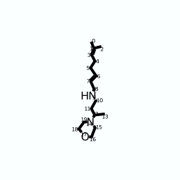 CC(C)=CCCC=CCNCCC(C)N1CCOCC1